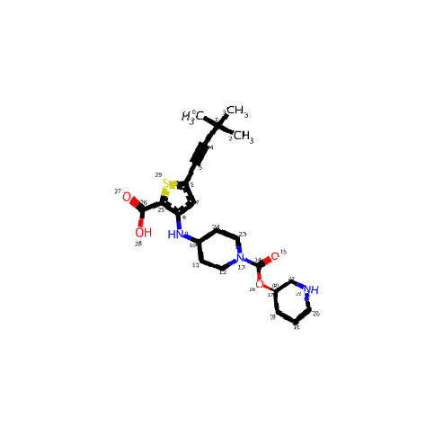 CC(C)(C)C#Cc1cc(NC2CCN(C(=O)O[C@@H]3CCCNC3)CC2)c(C(=O)O)s1